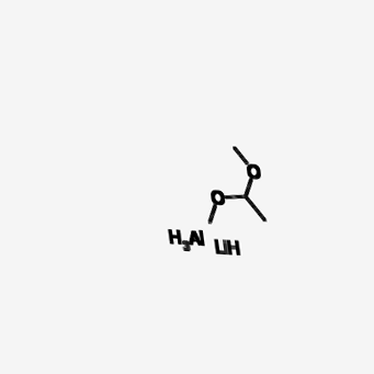 COC(C)OC.[AlH3].[LiH]